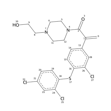 C=C(C(=O)N1CCN(CCO)CC1)c1ccc(Sc2ccc(Cl)cc2Cl)c(Cl)c1